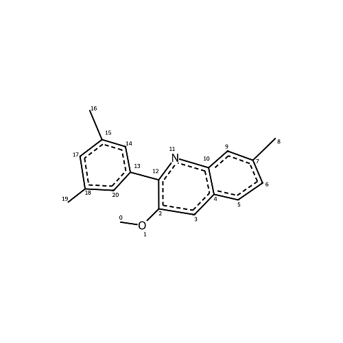 COc1cc2ccc(C)cc2nc1-c1cc(C)cc(C)c1